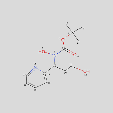 CC(C)(C)OC(=O)N(O)C(CCO)c1ccccn1